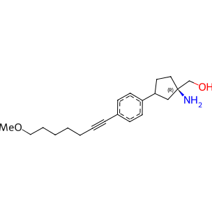 COCCCCCC#Cc1ccc(C2CC[C@](N)(CO)C2)cc1